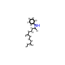 CCC(C)CCCC(C)CCCC(C)Nc1ccccc1